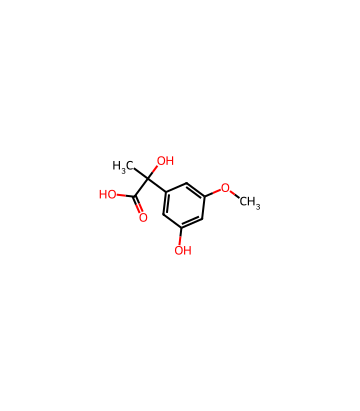 COc1cc(O)cc(C(C)(O)C(=O)O)c1